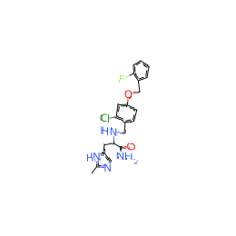 Cc1ncc(CC(NCc2ccc(OCc3ccccc3F)cc2Cl)C(N)=O)[nH]1